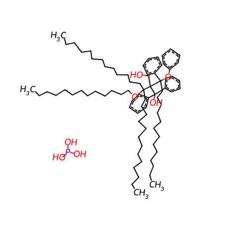 CCCCCCCCCCCCCOC(CCCCCCCCCCCCC)(CCCCCCCCCCCCC)C(CO)(C(CCCCCCCCCCCCC)(Oc1ccccc1)c1ccccc1)C(O)(c1ccccc1)c1ccccc1.OP(O)O